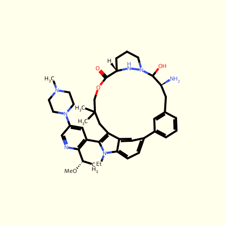 CCn1c(-c2cc(N3CCN(C)CC3)cnc2[C@H](C)OC)c2c3cc(ccc31)-c1cccc(c1)C[C@H](N)C(O)N1CCC[C@H](N1)C(=O)OCC(C)(C)C2